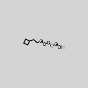 OOOOOOCCC1CCC1